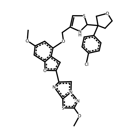 COc1cc(OCC2=CSC(C3(c4ccc(Cl)cc4)CCOC3)N2)c2cc(-c3cn4nc(OC)sc4n3)oc2c1